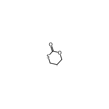 O=C1OC[CH]CS1